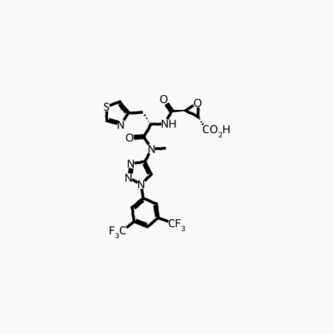 CN(C(=O)[C@H](Cc1cscn1)NC(=O)[C@H]1O[C@@H]1C(=O)O)c1cn(-c2cc(C(F)(F)F)cc(C(F)(F)F)c2)nn1